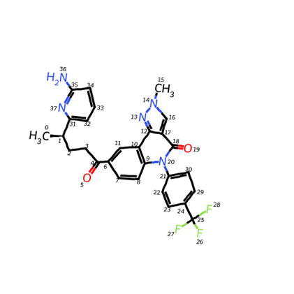 C[C@H](CCC(=O)c1ccc2c(c1)c1nn(C)cc1c(=O)n2-c1ccc(C(F)(F)F)cc1)c1cccc(N)n1